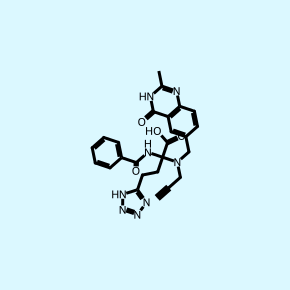 C#CCN(Cc1ccc2nc(C)[nH]c(=O)c2c1)C(CCc1nnn[nH]1)(NC(=O)c1ccccc1)C(=O)O